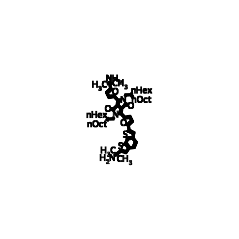 CCCCCCCCC(CCCCCC)CN1C(=O)C2=C(c3ccc(C(C)(C)N)o3)N(CC(CCCCCC)CCCCCCCC)C(=O)C2=C1c1ccc(-c2cc3ccc4cc(C(C)(C)N)sc4c3s2)o1